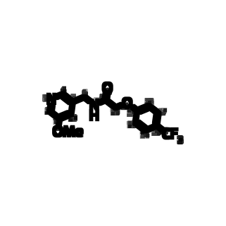 COc1cncc(CNC(=O)COc2ccc(C(F)(F)F)cc2)c1